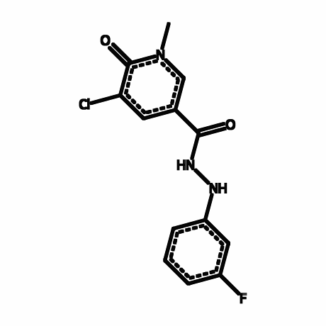 Cn1cc(C(=O)NNc2cccc(F)c2)cc(Cl)c1=O